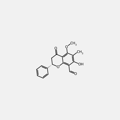 COc1c(C)c(O)c(C=O)c2c1C(=O)C[C@@H](c1ccccc1)O2